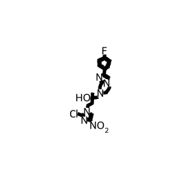 CC(O)(CCn1cc([N+](=O)[O-])nc1Cl)CN1CCn2cc(-c3ccc(F)cc3)nc2C1